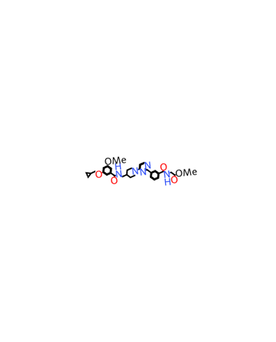 COC(=O)CNC(=O)c1cccc(-c2nccc(N3CCC(CNC(=O)c4cc(OC)cc(OCC5CC5)c4)CC3)n2)c1